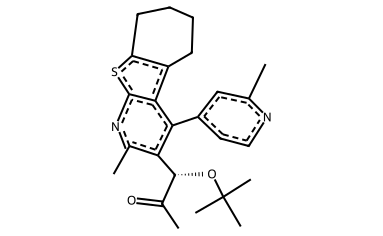 CC(=O)[C@@H](OC(C)(C)C)c1c(C)nc2sc3c(c2c1-c1ccnc(C)c1)CCCC3